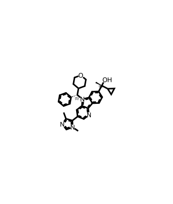 Cc1ncn(C)c1-c1cnc2c3ccc([C@](C)(O)C4CC4)cc3n([C@H](c3ccccc3)C3CCOCC3)c2c1